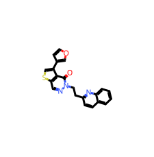 O=c1c2c(-c3ccoc3)csc2cnn1CCc1ccc2ccccc2n1